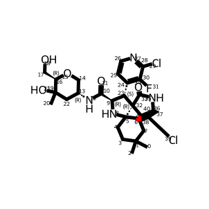 CC1(C)CCC2(CC1)N[C@@H](C(=O)N[C@H]1CO[C@H](CO)C(C)(O)C1)[C@H](c1ccnc(Cl)c1F)[C@]21C(=O)Nc2cc(Cl)ccc21